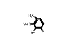 COc1c(C)c[c]c(F)c1C